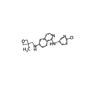 CC1(CNc2ccc3c(Nc4ccc(Cl)nc4)nccc3c2)COC1